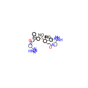 CC(C)c1ccccc1-c1c(/C=C/C(=O)N2CCCC(c3nnn[nH]3)C2)ccc(Sc2ccc(/C=C/C(=O)N3CCCC(c4nnn[nH]4)C3)c(-c3ccccc3C(C)C)c2[N+](=O)[O-])c1[N+](=O)[O-]